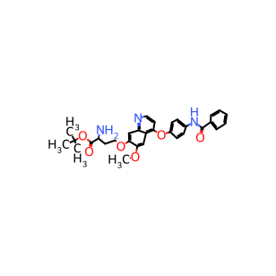 COc1cc2c(Oc3ccc(NC(=O)c4ccccc4)cc3)ccnc2cc1OCCC(N)C(=O)OC(C)(C)C